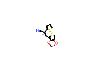 N#C/C(=[C]/c1scc2c1OCCO2)c1cccs1